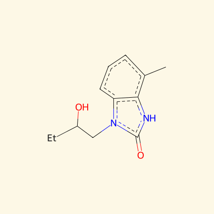 CCC(O)Cn1c(=O)[nH]c2c(C)cccc21